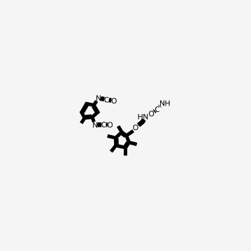 Cc1c(C)c(C)c(C)c(C)c1C.Cc1ccc(N=C=O)cc1N=C=O.N=C=O.N=C=O